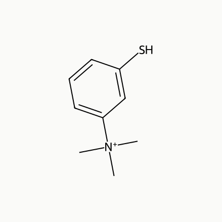 C[N+](C)(C)c1cccc(S)c1